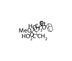 C=C(C(=O)O)C(C=C(C)C(=O)OC1(CC)C2CC3CC(C2)CC1C3)=C(C)C(=O)OC